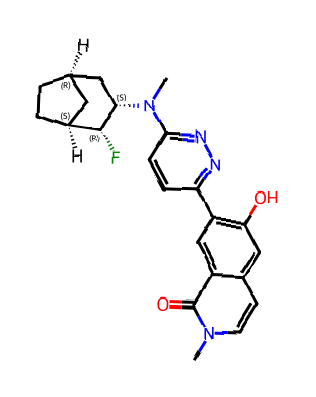 CN(c1ccc(-c2cc3c(=O)n(C)ccc3cc2O)nn1)[C@H]1C[C@@H]2CC[C@@H](C2)[C@H]1F